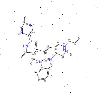 C=C(NCc1cnc(C)cn1)c1c(C)n(-c2ccccc2C)c(=N/CCCC)/c(=C\C=C\NCCC)c1=C